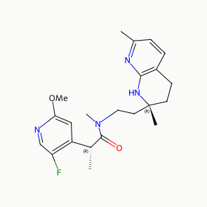 COc1cc([C@@H](C)C(=O)N(C)CC[C@@]2(C)CCc3ccc(C)nc3N2)c(F)cn1